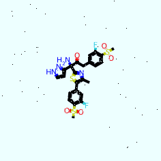 Cc1nc(C(N)(C(=O)Cc2ccc(S(C)(=O)=O)c(F)c2)c2cc[nH]n2)sc1-c1ccc(S(C)(=O)=O)c(F)c1